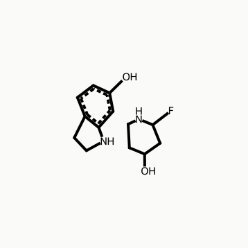 OC1CCNC(F)C1.Oc1ccc2c(c1)NCC2